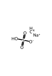 C.O=S(=O)([O-])O.[Na+]